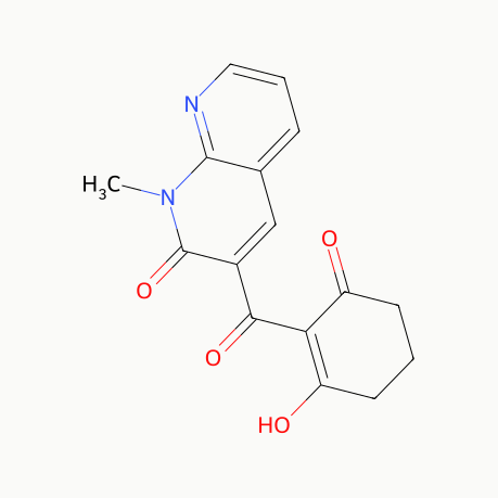 Cn1c(=O)c(C(=O)C2=C(O)CCCC2=O)cc2cccnc21